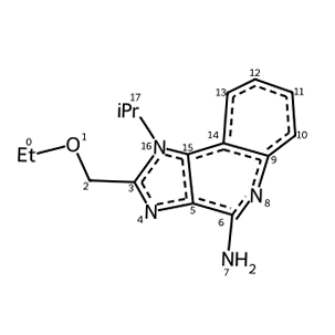 CCOCc1nc2c(N)nc3ccccc3c2n1C(C)C